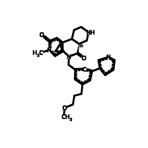 COCCCc1cc(CN(C(=O)[C@H]2CNCCC2c2ccn(C)c(=O)c2)C2CC2)cc(-c2cccnc2)c1